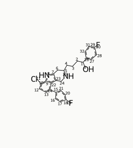 OC(CCCC1Cc2[nH]c3c(Cl)ccc(-c4ccc(F)cc4)c3c2CN1)c1ccc(F)cc1